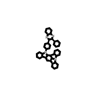 c1ccc(-c2nc3ccccc3nc2-c2ccc(-n3c4ccccc4c4cc5c6ccccc6n6c7ccccc7c(c43)c56)cc2)cc1